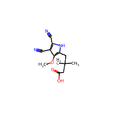 COc1c(CC(C)(C)CC(=O)O)[nH]c(C#N)c1C#N